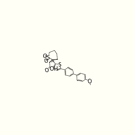 COc1ccc(-c2ccc(-c3ccc([C@@]4(CC(=O)O)CCCCS4(=O)=O)s3)cc2)cc1